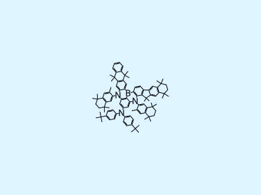 Cc1cc2c(cc1N1c3cc4c(cc3B3c5ccc6c(c5N(c5cc7c(cc5C)C(C)(C)CCC7(C)C)c5cc(N(c7ccc(C(C)(C)C)cc7)c7ccc(C(C)(C)C)cc7)cc1c53)C(C)(C)c1cc3c(cc1-6)C(C)(C)CCC3(C)C)C(C)(C)c1ccccc1C4(C)C)C(C)(C)CCC2(C)C